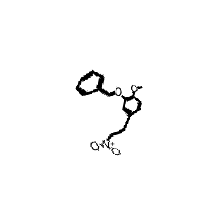 COc1ccc(CC[N+](=O)[O-])cc1OCc1ccccc1